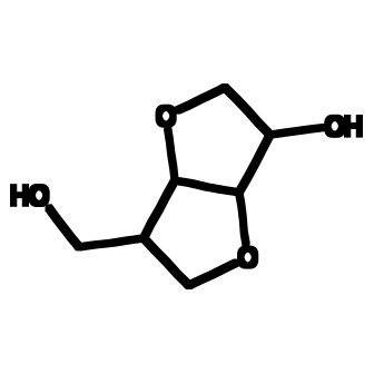 OCC1COC2C(O)COC12